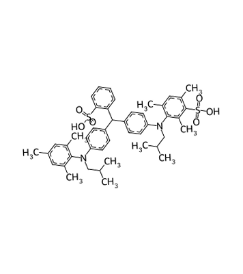 Cc1cc(C)c(N(CC(C)C)c2ccc(C(c3ccc(N(CC(C)C)c4c(C)cc(C)c(S(=O)(=O)O)c4C)cc3)c3ccccc3S(=O)(=O)O)cc2)c(C)c1